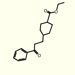 CCOC(=O)C1CCC(CCC(=O)c2ccccc2)CC1